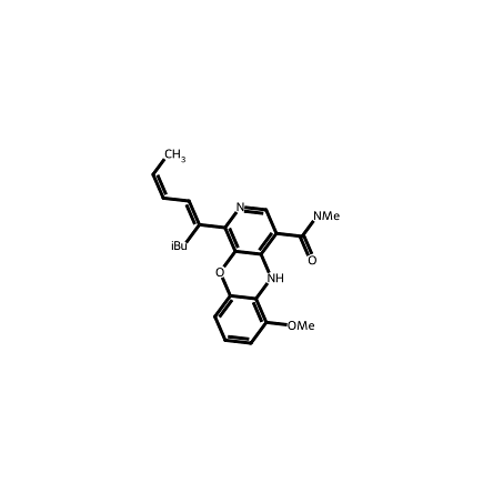 C/C=C\C=C(\c1ncc(C(=O)NC)c2c1Oc1cccc(OC)c1N2)C(C)CC